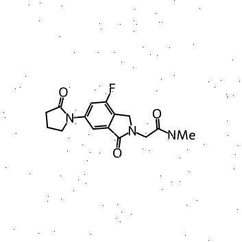 CNC(=O)CN1Cc2c(F)cc(N3CCCC3=O)cc2C1=O